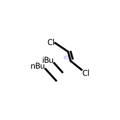 CCC(C)C.CCCCC.Cl/C=C/Cl